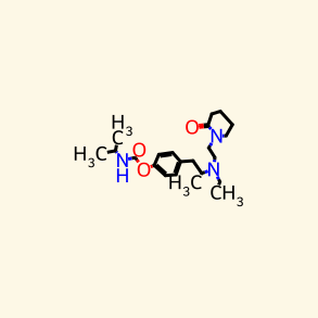 CCN(CCN1CCCCC1=O)C(C)Cc1ccc(OC(=O)NC(C)C)cc1